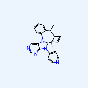 CC1c2ccccc2N2c3cncnc3N(c3ccncc3)C2C2(C)C=CC12